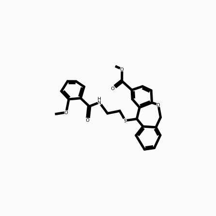 COC(=O)c1ccc2c(c1)C(SCCNC(=O)c1ccccc1OC)c1ccccc1CO2